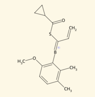 C=C/C(=B\c1c(OC)ccc(C)c1C)SC(=O)C1CC1